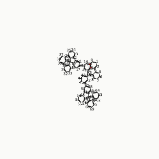 c1ccc(-c2ccccc2N(c2cccc(-c3ccc4c(c3)-c3ccccc3C4(c3ccccc3)c3ccccc3)c2)c2cccc(-c3ccc4c(c3)-c3ccccc3C4(c3ccccc3)c3ccccc3)c2)cc1